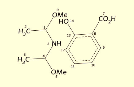 COC(C)NC(C)OC.O=C(O)c1ccccc1O